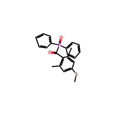 CSc1cc(C)c(C(=O)P(=O)(c2ccccc2)c2ccccc2)c(C)c1